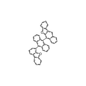 c1ccc2c(-c3c4ccccc4c(-c4cccc5c4oc4ccccc45)c4ccccc34)c3oc4ccccc4c3cc2c1